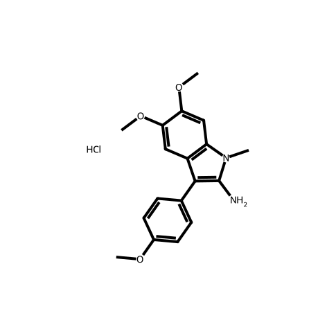 COc1ccc(-c2c(N)n(C)c3cc(OC)c(OC)cc23)cc1.Cl